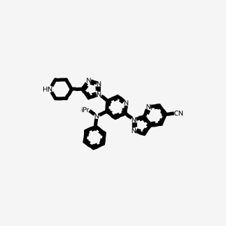 CC(C)N(c1ccccc1)c1cc(-n2ncc3cc(C#N)cnc32)ncc1-n1cc(C2CCNCC2)nn1